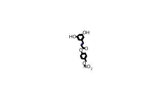 O=C(/C=C/c1cc(O)cc(O)c1)Oc1ccc(CO[N+](=O)[O-])cc1